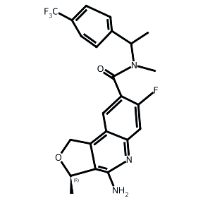 CC(c1ccc(C(F)(F)F)cc1)N(C)C(=O)c1cc2c3c(c(N)nc2cc1F)[C@@H](C)OC3